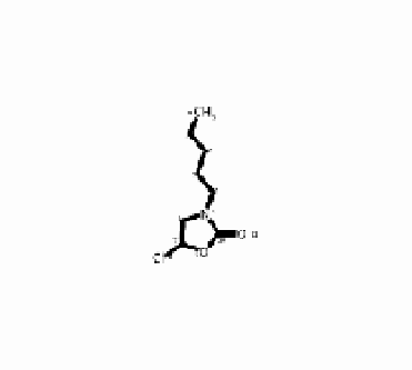 CCCCCN1CC(Cl)OC1=O